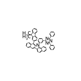 CC1(C)c2ccccc2-c2ccc(-c3c4ccccc4cc4c5ccc6ccccc6c5n(-c5cccc(-c6nc(-c7ccccc7)nc(-c7ccccc7)n6)c5)c34)cc21